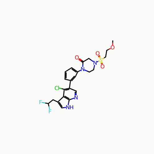 COCCS(=O)(=O)N1CCN(c2cccc(-c3cnc4[nH]cc(CC(F)F)c4c3Cl)c2)C(=O)C1